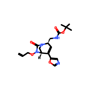 C=CCON1C(=O)N2C[C@H]1C(c1cnco1)=C[C@H]2CNC(=O)OC(C)(C)C